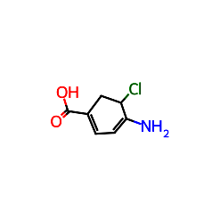 NC1=CC=C(C(=O)O)CC1Cl